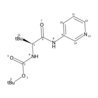 CC(C)(C)OC(=O)N[C@H](C(=O)Nc1cccnc1)C(C)(C)C